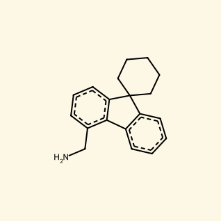 NCc1cccc2c1-c1ccccc1C21CCCCC1